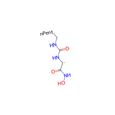 CCCCCCNC(=O)N[CH]C(=O)NO